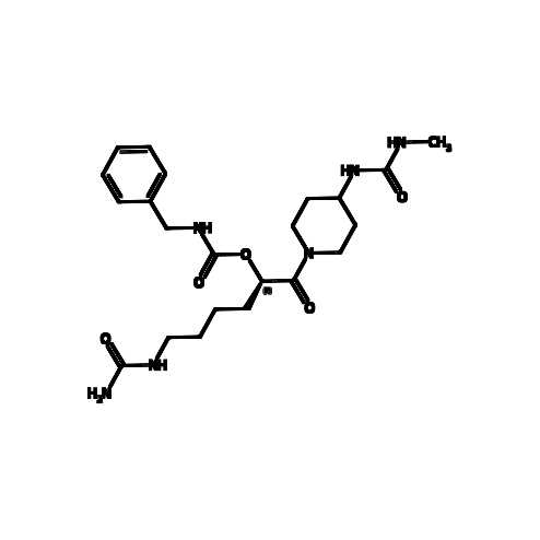 CNC(=O)NC1CCN(C(=O)[C@@H](CCCCNC(N)=O)OC(=O)NCc2ccccc2)CC1